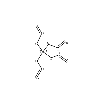 C=C[CH2][Zn]([CH2]C=C)([CH2]C=C)[CH2]C=C